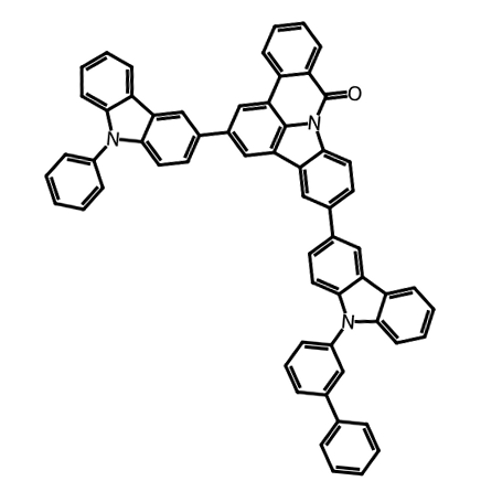 O=c1c2ccccc2c2cc(-c3ccc4c(c3)c3ccccc3n4-c3ccccc3)cc3c4cc(-c5ccc6c(c5)c5ccccc5n6-c5cccc(-c6ccccc6)c5)ccc4n1c23